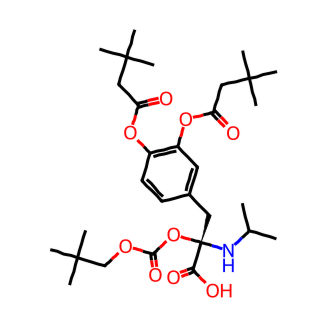 CC(C)N[C@@](Cc1ccc(OC(=O)CC(C)(C)C)c(OC(=O)CC(C)(C)C)c1)(OC(=O)OCC(C)(C)C)C(=O)O